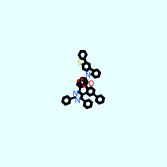 c1ccc(-c2cc(-c3c(-c4ccccc4)nc(-c4ccccc4)nc3-c3ccccc3)c3c(c2)oc2c(-n4c5ccccc5c5cc6c(cc54)sc4ccccc46)cccc23)cc1